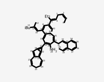 C/C=C\C/C=C(CC)/C(/C=C(/C=C(\C)C(C)CC)C1=CC(c2c3cc4c(c2-3)C=CCC=C4)=C(N)C(C/C=c2/cccc/c2=C/C)=CC1)=C/C